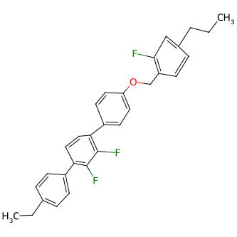 CCCc1ccc(COc2ccc(-c3ccc(-c4ccc(CC)cc4)c(F)c3F)cc2)c(F)c1